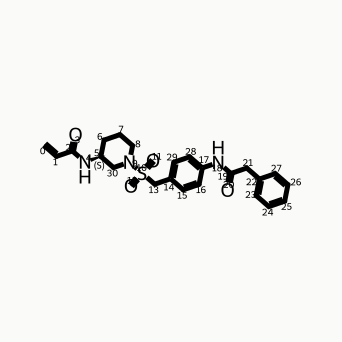 C=CC(=O)N[C@H]1CCCN(S(=O)(=O)Cc2ccc(NC(=O)Cc3ccccc3)cc2)C1